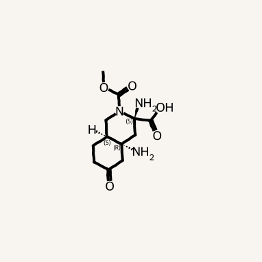 COC(=O)N1C[C@@H]2CCC(=O)C[C@]2(N)C[C@@]1(N)C(=O)O